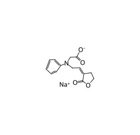 O=C([O-])CN(CC=C1CCOC1=O)c1ccccc1.[Na+]